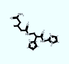 CC(CC(N)=O)CC(=O)NCC(C(=O)Nc1nccs1)c1cccs1